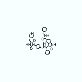 O=C1Nc2ccc(C(=O)NCc3ccccc3)cc2C1=C(NCc1ccc(N2C(=O)NC(=Cc3ccncc3)C2=O)cc1)c1ccccc1